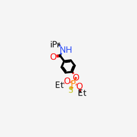 CCOP(=S)(OCC)Oc1ccc(C(=O)NC(C)C)cc1